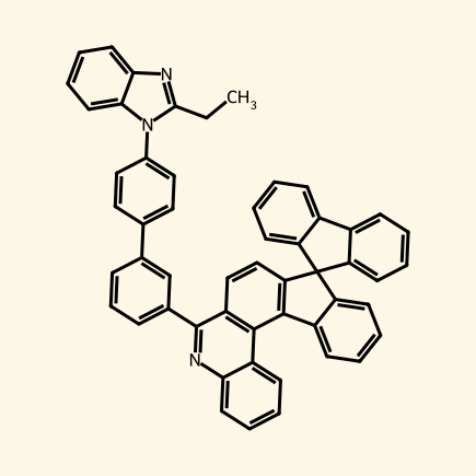 CCc1nc2ccccc2n1-c1ccc(-c2cccc(-c3nc4ccccc4c4c5c(ccc34)C3(c4ccccc4-c4ccccc43)c3ccccc3-5)c2)cc1